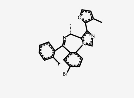 Cc1ccoc1-c1ncn2c1[C@@H](C)N=C(c1ccccc1F)c1cc(Br)ccc1-2